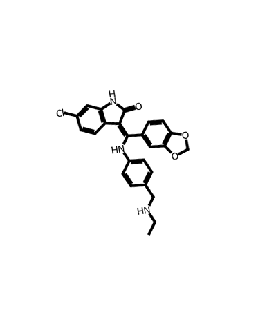 CCNCc1ccc(NC(=C2C(=O)Nc3cc(Cl)ccc32)c2ccc3c(c2)OCO3)cc1